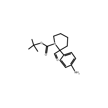 CC(C)(C)OC(=O)N1CCCCC1(C=O)c1ccc(N)cc1